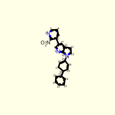 O=[N+]([O-])c1ncccc1-c1cnc2c(ccn2C2=CCC(c3ccccc3)C=C2)c1